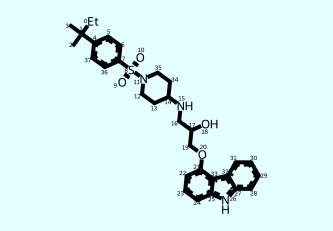 CCC(C)(C)c1ccc(S(=O)(=O)N2CCC(NCC(O)COc3cccc4[nH]c5ccccc5c34)CC2)cc1